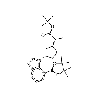 CN(C(=O)OC(C)(C)C)[C@H]1CC[C@H](n2cnc3cccc(B4OC(C)(C)C(C)(C)O4)c32)C1